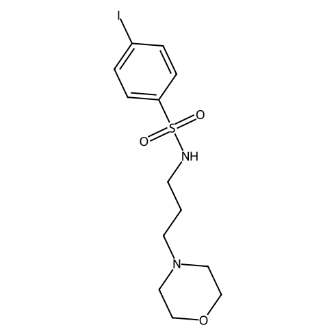 O=S(=O)(NCCCN1CCOCC1)c1ccc(I)cc1